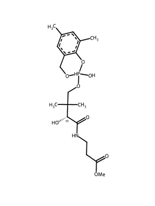 COC(=O)CCNC(=O)[C@H](O)C(C)(C)CO[PH]1(O)OCc2cc(C)cc(C)c2O1